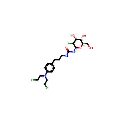 O=C(NCCCc1ccc(N(CCCl)CCCl)cc1)N[C@@H]1O[C@H](CO)[C@@H](O)[C@H](O)[C@@H]1F